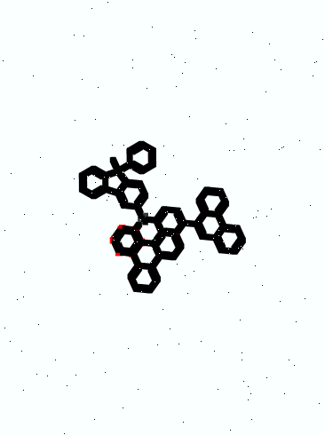 CC1(c2ccccc2)c2ccccc2-c2cc(N(c3ccc(-c4cc5ccccc5c5ccccc45)cc3)c3ccccc3-c3ccccc3-c3ccccc3-c3ccccc3)ccc21